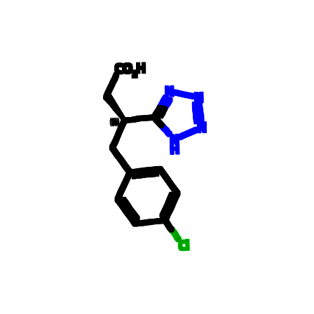 O=C(O)C[C@H](Cc1ccc(Cl)cc1)c1nnn[nH]1